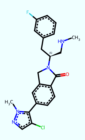 CNC[C@H](Cc1cccc(F)c1)N1Cc2cc(-c3c(Cl)cnn3C)ccc2C1=O